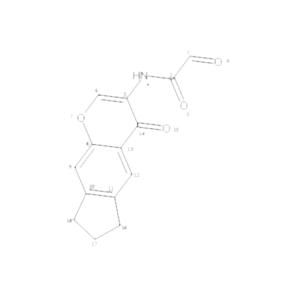 O=CC(=O)Nc1coc2cc3c(cc2c1=O)CCC3